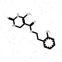 CC1=C(C(=O)OCCc2ccccc2C)CNC(=S)N1